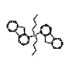 CCCC[Si](CCCC)(c1cccc2c1[CH]c1ccccc1-2)c1cccc2c1[CH]c1ccccc1-2